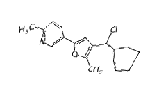 Cc1ccc(-c2cc(C(Cl)C3CCCCC3)c(C)o2)cn1